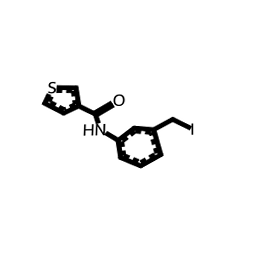 O=C(Nc1cccc(CI)c1)c1ccsc1